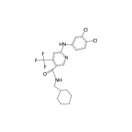 O=C(NCC1CCCCC1)c1cnc(Nc2ccc(Cl)c(Cl)c2)cc1C(F)(F)F